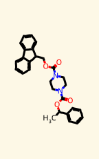 CC(OC(=O)N1CCN(C(=O)OCC2c3ccccc3-c3ccccc32)CC1)c1ccccc1